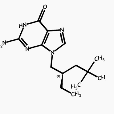 CC[C@@H](Cn1cnc2c(=O)[nH]c(N)nc21)CC(C)(C)C